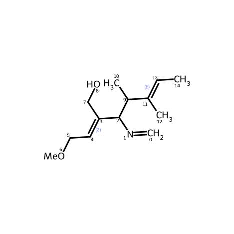 C=NC(/C(=C/COC)CO)C(C)/C(C)=C/C